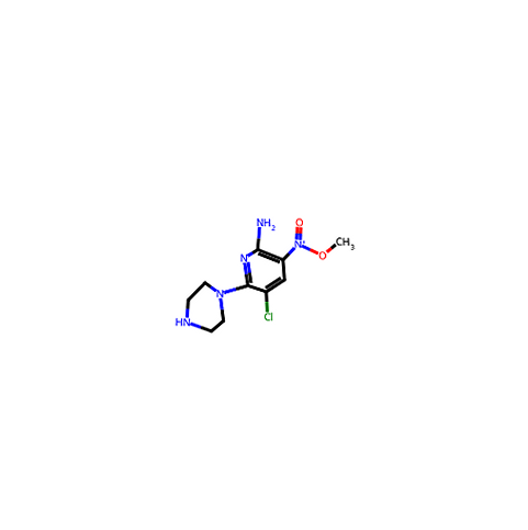 CO[N+](=O)c1cc(Cl)c(N2CCNCC2)nc1N